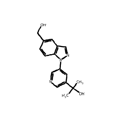 CC(C)(O)c1cncc(-n2ncc3cc(CO)ccc32)c1